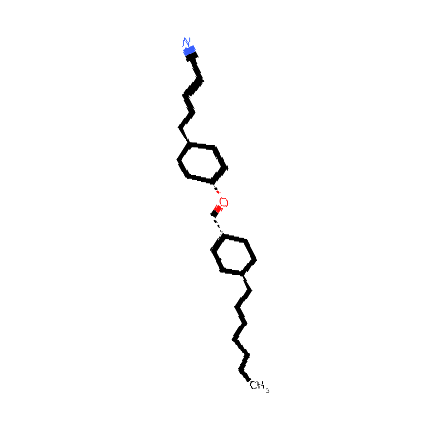 CCCCCCC[C@H]1CC[C@H](CO[C@H]2CC[C@H](CC/C=C/C#N)CC2)CC1